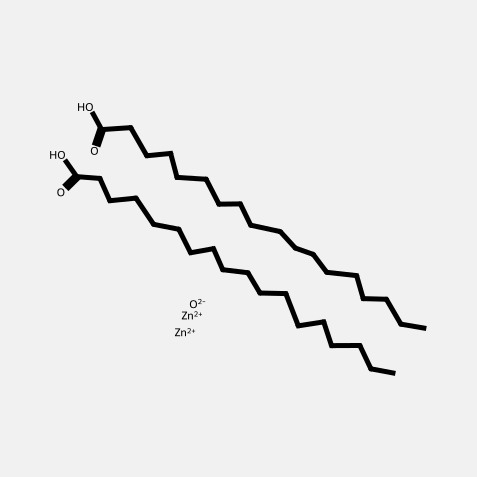 CCCCCCCCCCCCCCCCCC(=O)O.CCCCCCCCCCCCCCCCCC(=O)O.[O-2].[Zn+2].[Zn+2]